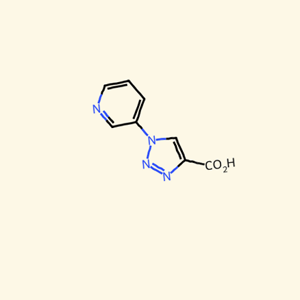 O=C(O)c1cn(-c2cccnc2)nn1